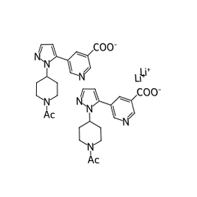 CC(=O)N1CCC(n2nccc2-c2cncc(C(=O)[O-])c2)CC1.CC(=O)N1CCC(n2nccc2-c2cncc(C(=O)[O-])c2)CC1.[Li+].[Li+]